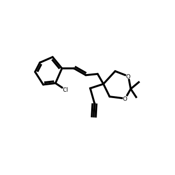 C#CCC1(C/C=C/c2ccccc2Cl)COC(C)(C)OC1